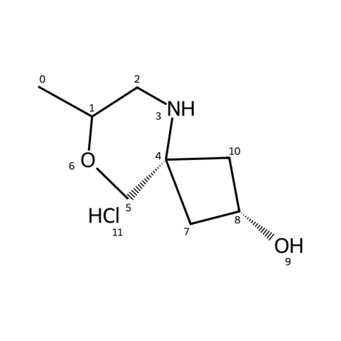 CC1CN[C@]2(CO1)C[C@@H](O)C2.Cl